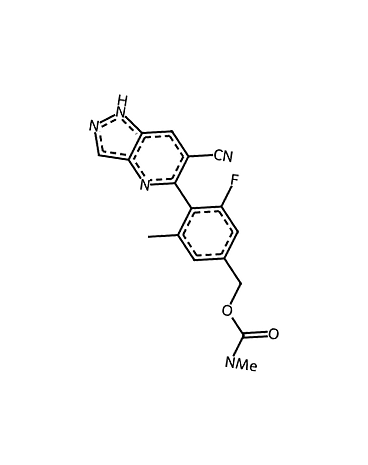 CNC(=O)OCc1cc(C)c(-c2nc3cn[nH]c3cc2C#N)c(F)c1